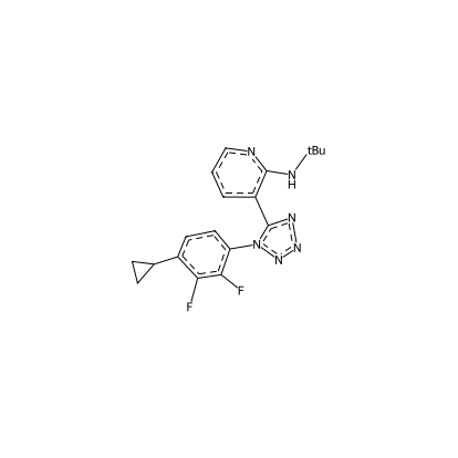 CC(C)(C)Nc1ncccc1-c1nnnn1-c1ccc(C2CC2)c(F)c1F